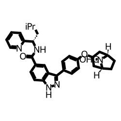 CC(C)C[C@H](NC(=O)c1ccc2[nH]nc(-c3ccc(OC4C[C@H]5CC[C@@H](C4)N5C=O)cc3)c2c1)c1ccccn1